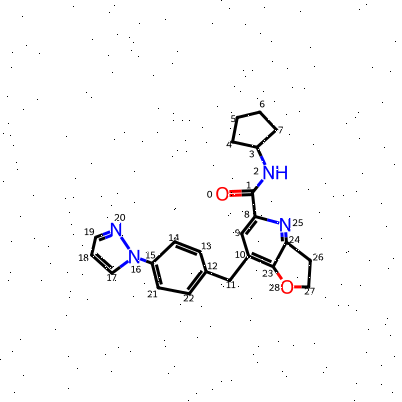 O=C(NC1CCCC1)c1cc(Cc2ccc(-n3cccn3)cc2)c2c(n1)CCO2